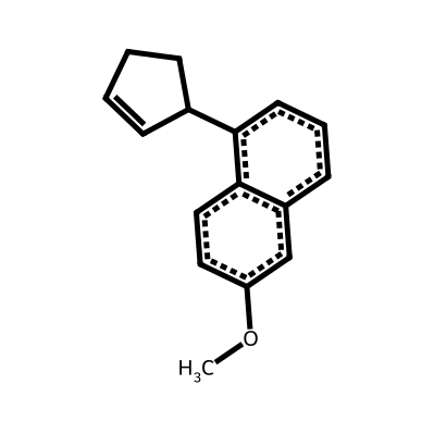 COc1ccc2c(C3C=CCC3)cccc2c1